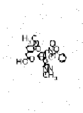 COc1ccc(CC(=O)O)cc1Oc1ccc(-c2cnn(C)c2)cc1CN1C(=O)O[C@H](c2ccccc2)[C@@H]1C